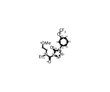 CCN(CCOC)C(=O)n1nnn(-c2cccc(OC(F)(F)F)c2)c1=O